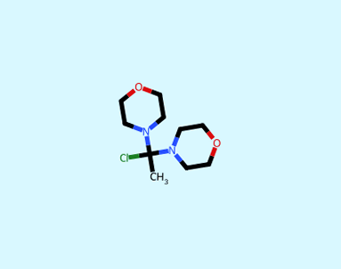 CC(Cl)(N1CCOCC1)N1CCOCC1